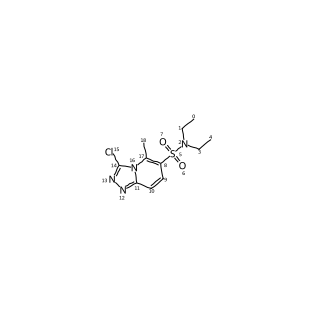 CCN(CC)S(=O)(=O)c1ccc2nnc(Cl)n2c1C